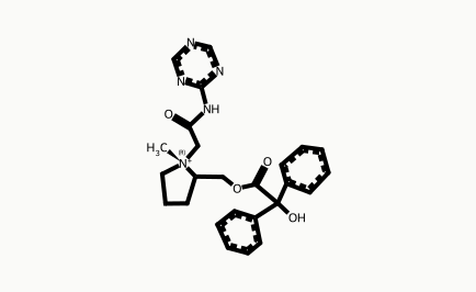 C[N@+]1(CC(=O)Nc2ncncn2)CCCC1COC(=O)C(O)(c1ccccc1)c1ccccc1